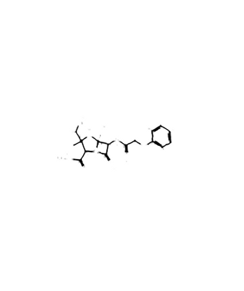 COC(=O)C1N2C(=O)C(NC(=O)COc3ccccc3)[C@H]2SC1(C)CBr